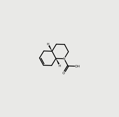 O=C(O)N1CCC[C@H]2CC=CC[C@H]21